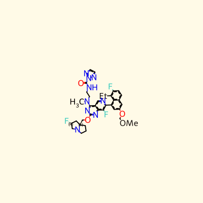 CCc1c(F)ccc2cc(OCOC)cc(-c3ncc4c(N(C)CCNC(=O)n5nccn5)nc(OC[C@@]56CCCN5C[C@H](F)C6)nc4c3F)c12